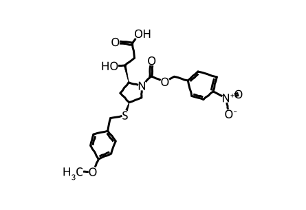 COc1ccc(CS[C@H]2C[C@@H](C(O)CC(=O)O)N(C(=O)OCc3ccc([N+](=O)[O-])cc3)C2)cc1